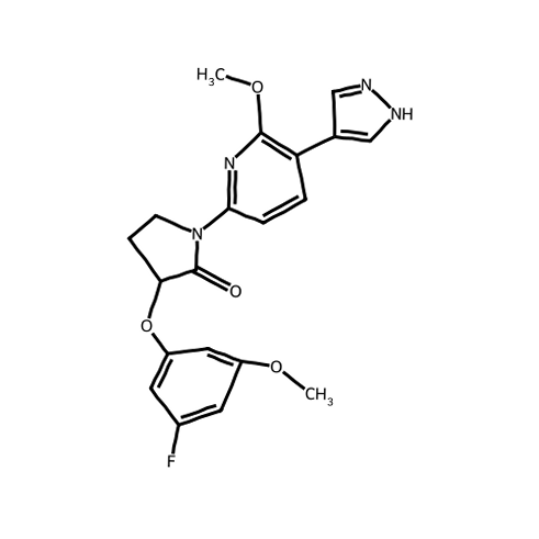 COc1cc(F)cc(OC2CCN(c3ccc(-c4cn[nH]c4)c(OC)n3)C2=O)c1